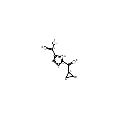 O=C(O)c1ccc(C(=O)C2CC2)o1